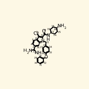 N=C(N)c1ccc2c(Cl)c(C(=O)N[C@H]3CC[C@H](N)CC3)n(Cc3ccc(Oc4ccccc4)cc3)c2c1